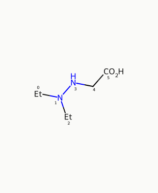 CCN(CC)NCC(=O)O